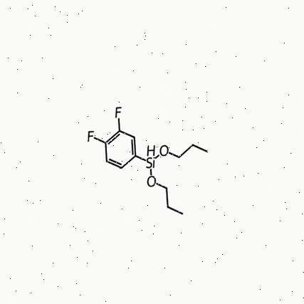 CCCO[SiH](OCCC)c1ccc(F)c(F)c1